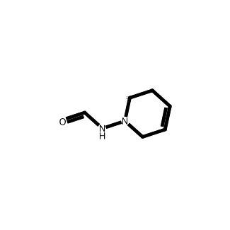 O=CNN1[C]CC=CC1